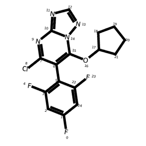 Fc1cc(F)c(-c2c(Cl)nc3ncnn3c2OC2CCCC2)c(F)c1